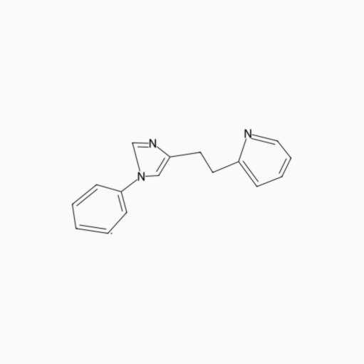 [c]1cccc(-n2cnc(CCc3ccccn3)c2)c1